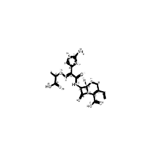 C=CC1=C(C(=O)O)N2C(=O)C(NC(=O)C(=NOC(C)C(=O)O)c3csc(N)n3)[C@@H]2SC1